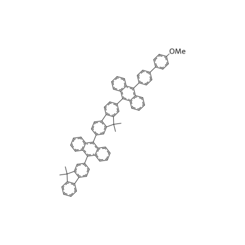 COc1ccc(-c2ccc(-c3c4ccccc4c(-c4ccc5c(c4)C(C)(C)c4cc(-c6c7ccccc7c(-c7ccc8c(c7)C(C)(C)c7ccccc7-8)c7ccccc67)ccc4-5)c4ccccc34)cc2)cc1